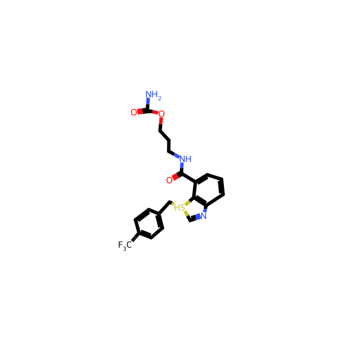 NC(=O)OCCCNC(=O)c1cccc2c1[SH](Cc1ccc(C(F)(F)F)cc1)C=N2